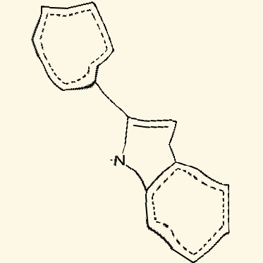 C1=C(c2ccccc2)[N]c2ccccc21